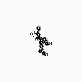 O=C(NS(=O)(=O)c1ccc(NCC2CCOCC2)c([N+](=O)[O-])c1)c1ccc(N2CCN(CC3=C(c4ccc(Cl)cc4)CCC3)CC2)cc1N1CCCOc2nc3[nH]ccc3cc21